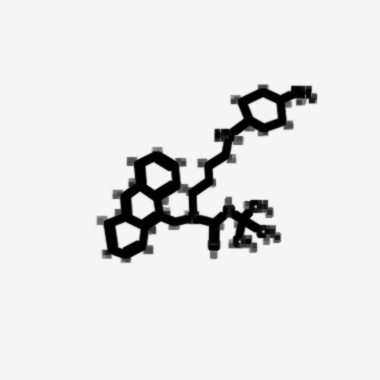 CC(C)(C)OC(=O)N(CCCCNC1CCC(N)CC1)Cc1c2ccccc2cc2ccccc12